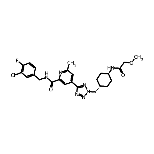 COCC(=O)N[C@H]1CC[C@H](Cn2nnc(-c3cc(C)nc(C(=O)NCc4ccc(F)c(Cl)c4)c3)n2)CC1